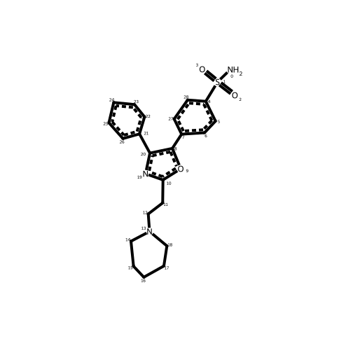 NS(=O)(=O)c1ccc(-c2oc(CCN3CCCCC3)nc2-c2ccccc2)cc1